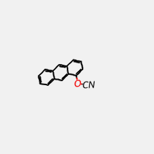 N#COc1cccc2cc3ccccc3cc12